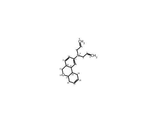 C=CCN(CC=C)C1=CC2C(C=C1)COC1CC=CCC12